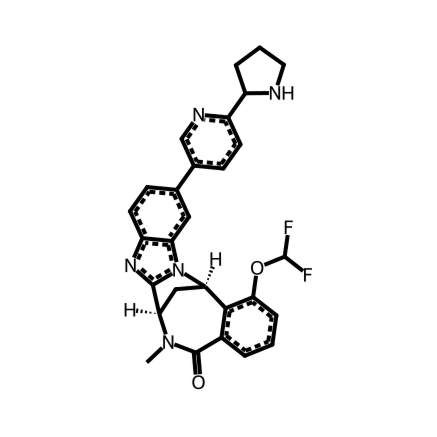 CN1C(=O)c2cccc(OC(F)F)c2[C@H]2C[C@@H]1c1nc3ccc(-c4ccc(C5CCCN5)nc4)cc3n12